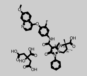 COc1ccc2c(Oc3ccc(NC(=O)c4c(C)n(C[C@@H](C)[C@](C)(N)C(=O)O)n(-c5ccccc5)c4=O)cc3F)ccnc2c1.O=C(O)CC(O)(CC(=O)O)C(=O)O